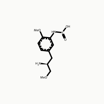 COC[C@@H](N)Cc1ccc(OC)c(NS(=O)O)c1